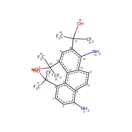 Nc1ccc(C(O)(C(F)(F)F)C(F)(F)F)c2c1ccc1c(N)c(C(O)(C(F)(F)F)C(F)(F)F)cc(C(O)(C(F)(F)F)C(F)(F)F)c12